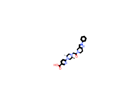 C[C@@H]1CN(CC(=O)N2CCc3nn(-c4ccccc4)cc3C2)[C@@H](C)CN1c1ccc(C(=O)O)cn1